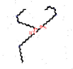 CC/C=C\C/C=C\C/C=C\CCCCCCCC(=O)OCC(COCC(=O)CCCCCCC/C=C\CCCCCCCC)OC(=O)CCCCCCC/C=C\C/C=C\CCCCC